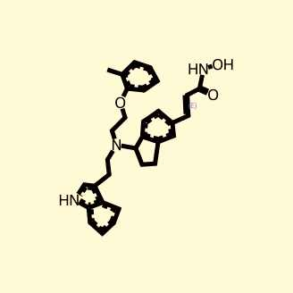 Cc1ccccc1OCCN(CCc1c[nH]c2ccccc12)C1CCc2cc(/C=C/C(=O)NO)ccc21